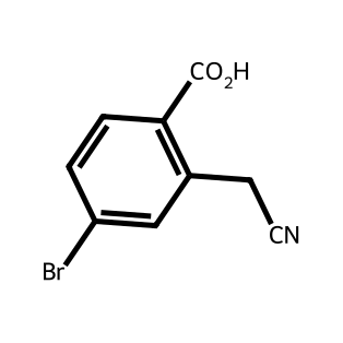 N#CCc1cc(Br)ccc1C(=O)O